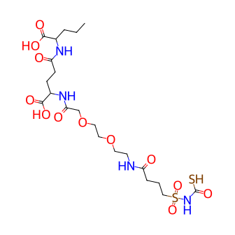 CCCC(NC(=O)CCC(NC(=O)COCCOCCNC(=O)CCCS(=O)(=O)NC(=O)S)C(=O)O)C(=O)O